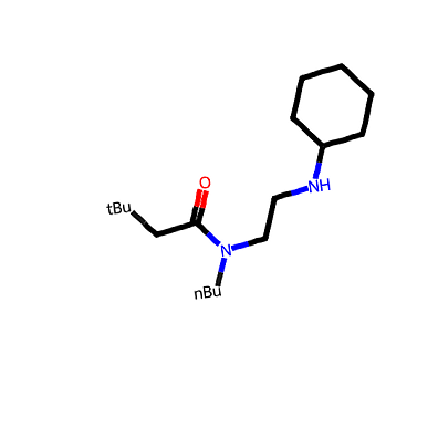 CCCCN(CCNC1CCCCC1)C(=O)CC(C)(C)C